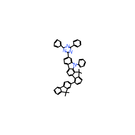 CC1(C)c2ccccc2-c2ccc(-c3cccc4c3-c3ccc5c6ccc(-c7nc(-c8ccccc8)nc(-c8ccccc8)n7)cc6n(-c6ccccc6)c5c3C4(C)C)cc21